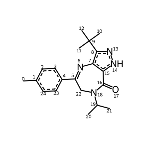 Cc1ccc(C2=Nc3c(C(C)(C)C)n[nH]c3C(=O)N(C(C)C)C2)cc1